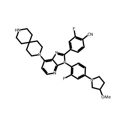 COC1CCN(c2ccc(-n3c(-c4ccc(C#N)c(F)c4)nc4c(N5CCC6(CCNCC6)CC5)ccnc43)c(F)c2)C1